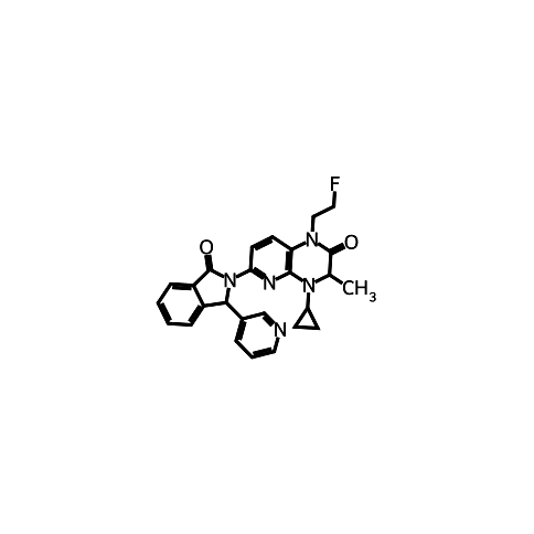 CC1C(=O)N(CCF)c2ccc(N3C(=O)c4ccccc4C3c3cccnc3)nc2N1C1CC1